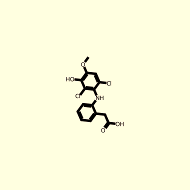 COc1cc(Cl)c(Nc2ccccc2CC(=O)O)c(Cl)c1O